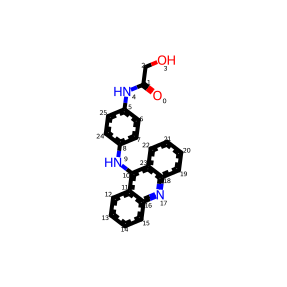 O=C(CO)Nc1ccc(Nc2c3ccccc3nc3ccccc23)cc1